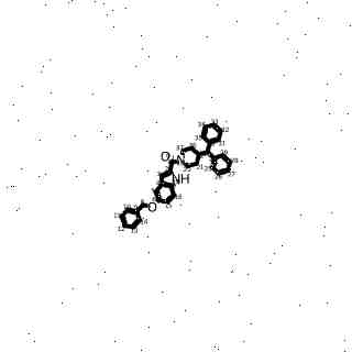 O=C(c1cc2cc(OCc3ccccc3)ccc2[nH]1)N1CCC(C(c2ccccc2)c2ccccc2)CC1